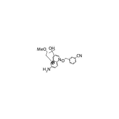 COCCC1N=C2C(N)=CC=C3N(OCc4cccc(C#N)c4)C=CCC32N1CC(C)(C)O